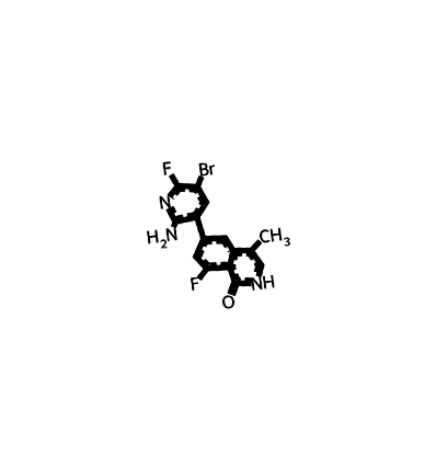 Cc1c[nH]c(=O)c2c(F)cc(-c3cc(Br)c(F)nc3N)cc12